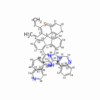 C=CC1=C(C=C)C2(C3=CCCC=C3S1)c1cccc(-c3cc(-c4ccncc4)nc(-c4ccncc4)c3)c1-c1c(-c3nc(-c4ccccc4)nc(-c4ccccc4)n3)cccc12